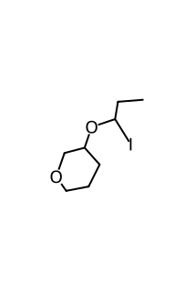 CCC(I)OC1CCCOC1